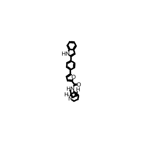 C[C@H]1[C@H](NC(=O)c2ccc(-c3ccc(-c4cc5ccccc5[nH]4)cc3)o2)C2CCN1CC2